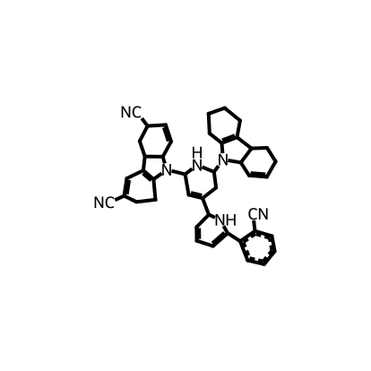 N#CC1=CC2=C(CC1)N(C1C=C(C3C=CC=C(c4ccccc4C#N)N3)CC(N3C4=C(CCCC4)C4CCC=CC43)N1)C1C=CC(C#N)CC21